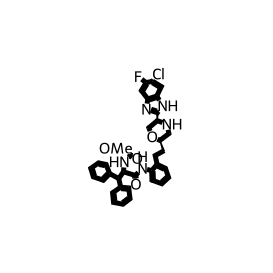 COC(=O)NC(C(=O)Nc1ccccc1CC[C@@H]1CN[C@H](c2nc3cc(F)c(Cl)cc3[nH]2)CO1)C(c1ccccc1)c1ccccc1